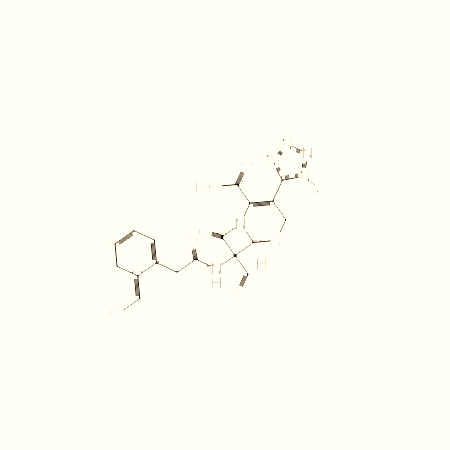 Cn1nnnc1C1=C(C(=O)O)N2C(=O)C(C=S)(NC(=O)CC3=CC=CCC3=CCl)[C@@H]2SC1